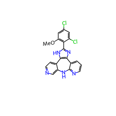 COc1cc(Cl)cc(Cl)c1-c1nc2c([nH]1)-c1ccncc1Nc1ncccc1-2